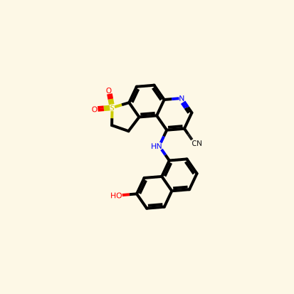 N#Cc1cnc2ccc3c(c2c1Nc1cccc2ccc(O)cc12)CCS3(=O)=O